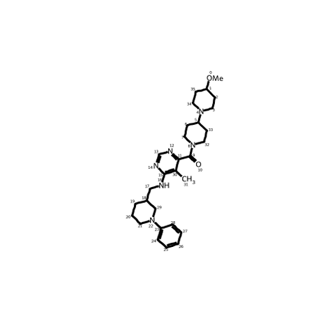 COC1CCN(C2CCN(C(=O)c3ncnc(NCC4CCCN(c5ccccc5)C4)c3C)CC2)CC1